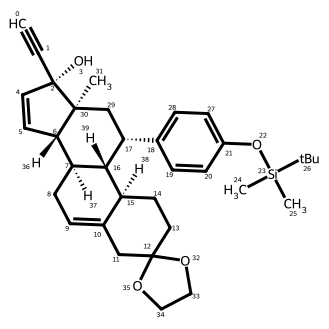 C#C[C@]1(O)C=C[C@H]2[C@@H]3CC=C4CC5(CC[C@@H]4[C@H]3[C@@H](c3ccc(O[Si](C)(C)C(C)(C)C)cc3)C[C@@]21C)OCCO5